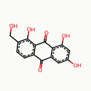 O=C1c2cc(O)cc(O)c2C(=O)c2c1ccc(CO)c2O